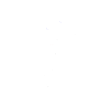 Nc1ncccc1OCc1cccc(Cl)c1F